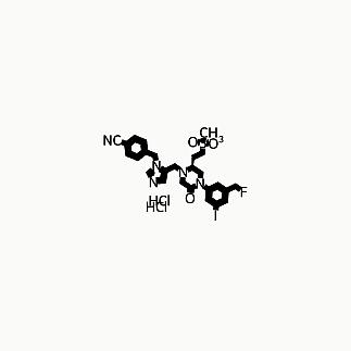 CS(=O)(=O)CC[C@H]1CN(c2cc(I)cc(CF)c2)C(=O)CN1Cc1cncn1Cc1ccc(C#N)cc1.Cl.Cl